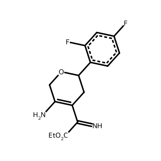 CCOC(=O)C(=N)C1=C(N)COC(c2ccc(F)cc2F)C1